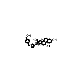 C[C@]12C=CC(O)C=C1CC[C@@H]1C2[C@@H](O)C[C@@]2(C)[C@H]1C[C@H]1O[C@@H](c3ccn(Cc4ccc(CO)cc4)c3)O[C@]12C(=O)CO